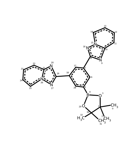 CC1(C)OB(c2cc(-c3nc4ccccn4n3)cc(-c3nc4ccccn4n3)c2)OC1(C)C